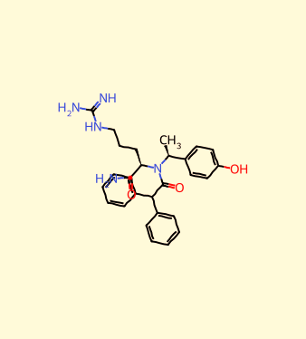 C[C@@H](c1ccc(O)cc1)N(C(=O)C(c1ccccc1)c1ccccc1)[C@H](CCCNC(=N)N)C(N)=O